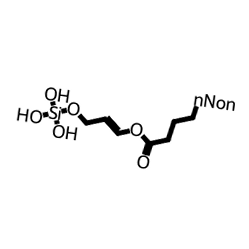 CCCCCCCCCCCCC(=O)OC=CCO[Si](O)(O)O